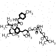 CC[C@@H](CC(=O)OCOP(=O)(O)OCOC(=O)OC(C)C)c1ccc(N(CC(C)C)CC(C)C)c(NC(=O)Nc2ccc(C)cc2)c1